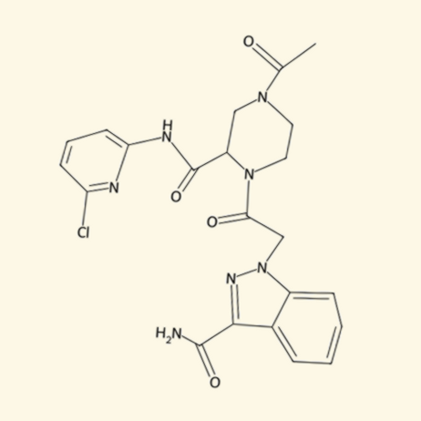 CC(=O)N1CCN(C(=O)Cn2nc(C(N)=O)c3ccccc32)C(C(=O)Nc2cccc(Cl)n2)C1